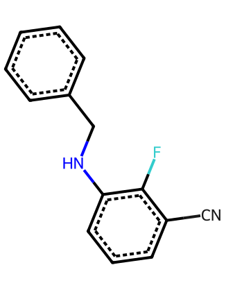 N#Cc1cccc(NCc2ccccc2)c1F